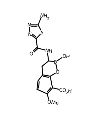 COc1ccc2c(c1C(=O)O)OB(O)C(NC(=O)c1nnc(N)s1)C2